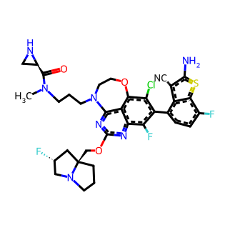 CN(CCCN1CCOc2c(Cl)c(-c3ccc(F)c4sc(N)c(C#N)c34)c(F)c3nc(OC[C@@]45CCCN4C[C@H](F)C5)nc1c23)C(=O)[C@H]1CN1